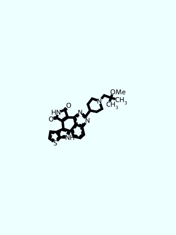 COC(C)(C)CN1CCC(c2nc(C3=C(c4c[nH]c5sccc45)C(=O)NC3=O)c3ccccc3n2)CC1